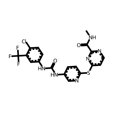 CNC(=O)c1nccc(Sc2ccc(NC(=O)Nc3ccc(Cl)c(C(F)(F)F)c3)cn2)n1